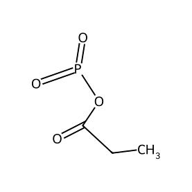 CCC(=O)OP(=O)=O